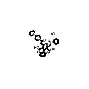 Cl.O=C(O)C1=C(CC(=O)N2CCC(N3CCCCC3)CC2)NC(C[S+]([O-])c2ccccc2)=C(C(=O)O)C1c1c(Cl)cccc1Cl